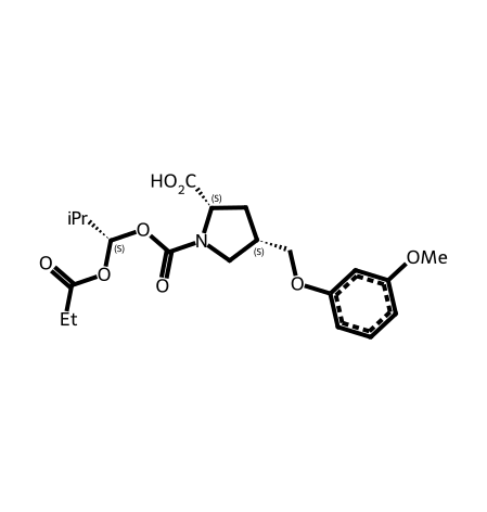 CCC(=O)O[C@@H](OC(=O)N1C[C@@H](COc2cccc(OC)c2)C[C@H]1C(=O)O)C(C)C